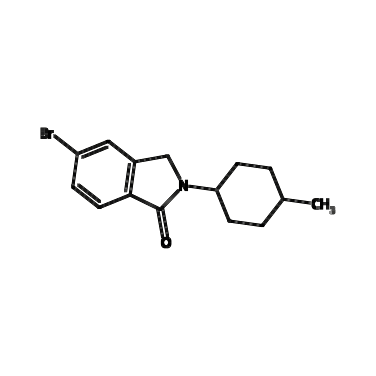 CC1CCC(N2Cc3cc(Br)ccc3C2=O)CC1